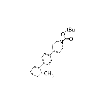 CC1CC=CC=C1c1ccc(C2=CCN(C(=O)OC(C)(C)C)CC2)cc1